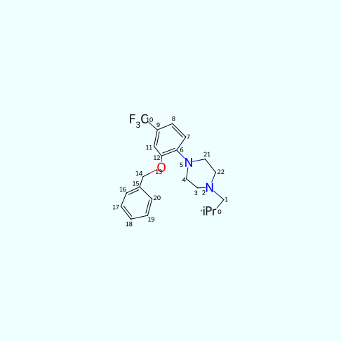 C[C](C)CN1CCN(c2ccc(C(F)(F)F)cc2OCc2ccccc2)CC1